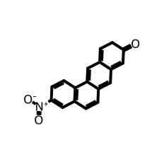 O=C1C=c2cc3ccc4cc([N+](=O)[O-])ccc4c3cc2=CC1